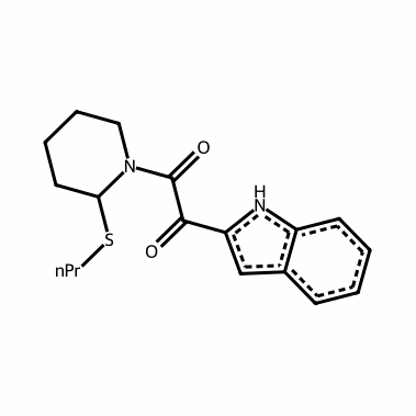 CCCSC1CCCCN1C(=O)C(=O)c1cc2ccccc2[nH]1